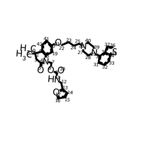 CC1(C)CC(=O)N(COC(=O)NCc2ccco2)c2cc(OCCCCN3CCN(c4cccc5sccc45)CC3)ccc21